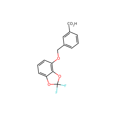 O=C(O)c1cccc(COc2cccc3c2OC(F)(F)O3)c1